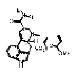 C=CC(=O)O.C=CC(=O)OC.CCN(CC)C(=O)[C@@H]1C=C2c3cccc4[nH]cc(c34)C[C@H]2N(C)C1